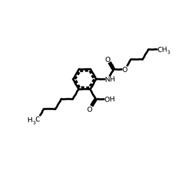 CCCCCc1cccc(NC(=O)OCCCC)c1C(=O)O